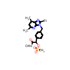 CCc1nc2c(C)cc(C)nc2n1Cc1ccc(C(OS(C)(=O)=O)C(=O)OC)cc1